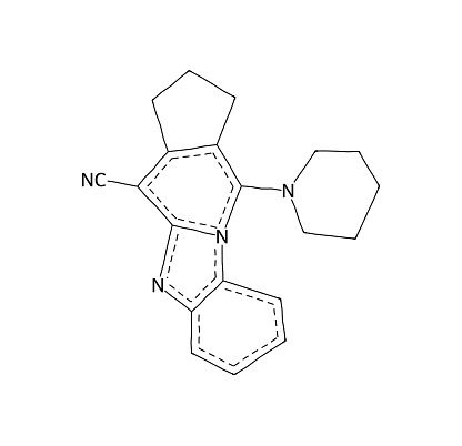 N#Cc1c2c(c(N3CCCCC3)n3c1nc1ccccc13)CCC2